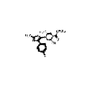 Cc1nc(-c2ccc(F)cc2)c(N2C[C@H](C)N(C(=O)OC(C)(C)C)C[C@H]2C)s1